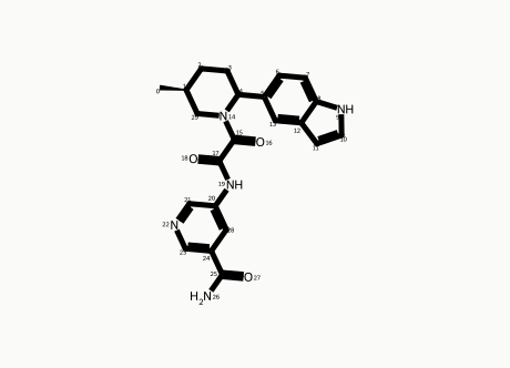 C[C@H]1CCC(c2ccc3[nH]ccc3c2)N(C(=O)C(=O)Nc2cncc(C(N)=O)c2)C1